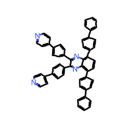 c1ccc(-c2ccc(-c3ccc(-c4ccc(-c5ccccc5)cc4)c4nc(-c5ccc(-c6ccncc6)cc5)c(-c5ccc(-c6ccncc6)cc5)nc34)cc2)cc1